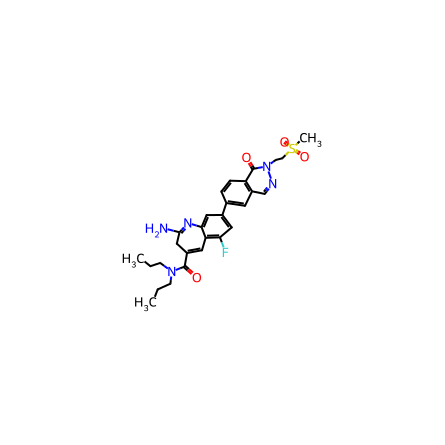 CCCN(CCC)C(=O)C1=Cc2c(F)cc(-c3ccc4c(=O)n(CCS(C)(=O)=O)ncc4c3)cc2N=C(N)C1